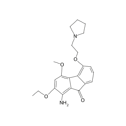 CCOc1cc(OC)c2c(c1N)C(=O)c1cccc(OCCN3CCCC3)c1-2